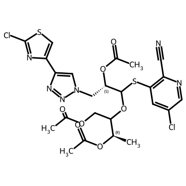 CC(=O)OCC(OC(Sc1cc(Cl)cnc1C#N)[C@H](Cn1cc(-c2csc(Cl)n2)nn1)OC(C)=O)[C@@H](C)OC(C)=O